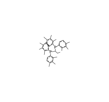 CCC(P(c1ccc(C)c(C)c1C)c1ccc(C)c(C)c1C)P(c1ccc(C)c(C)c1C)c1ccc(C)c(C)c1C